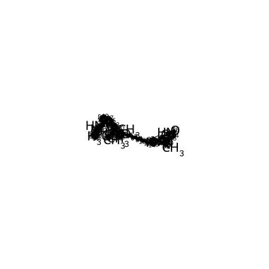 Cc1c(OCCCCCCCCCN2CCN(c3ccc4c(C5CCC(=O)NC5=O)nn(C)c4c3)CC2)cccc1-c1ccc(N2CCc3cccc(C(=O)Nc4nc5ccccc5s4)c3C2)nc1C(=O)OC(C)(C)C